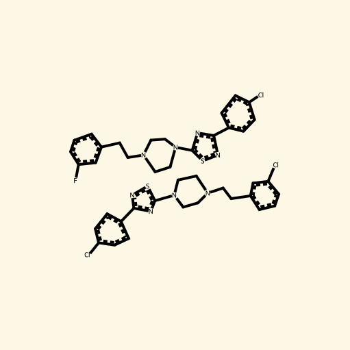 Clc1ccc(-c2nsc(N3CCN(CCc4cccc(Cl)c4)CC3)n2)cc1.Fc1cccc(CCN2CCN(c3nc(-c4ccc(Cl)cc4)ns3)CC2)c1